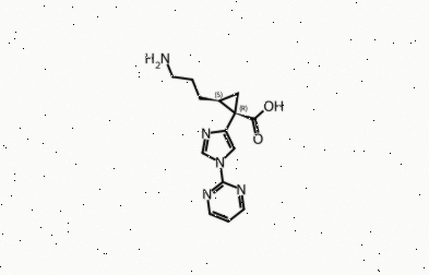 NCCC[C@H]1C[C@]1(C(=O)O)c1cn(-c2ncccn2)cn1